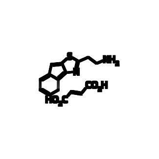 NCCc1nc2c(s1)=CC1=CC=CCC=21.O=C(O)C=CC(=O)O